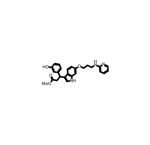 COC(=O)CC(c1cccc(O)c1)c1c[nH]c2cc(OCCCNc3ccccn3)ccc12